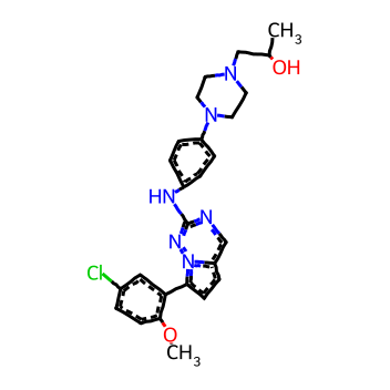 COc1ccc(Cl)cc1-c1ccc2cnc(Nc3ccc(N4CCN(CC(C)O)CC4)cc3)nn12